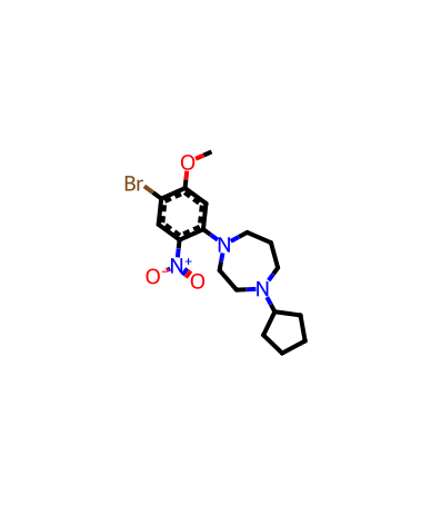 COc1cc(N2CCCN(C3CCCC3)CC2)c([N+](=O)[O-])cc1Br